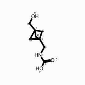 O=C(O)NCC12CC(CO)(C1)C2